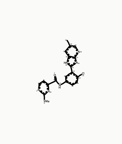 CSc1nccc(C(=O)Nc2ccc(Cl)c(-c3nc4ncc(C)cc4[nH]3)c2)n1